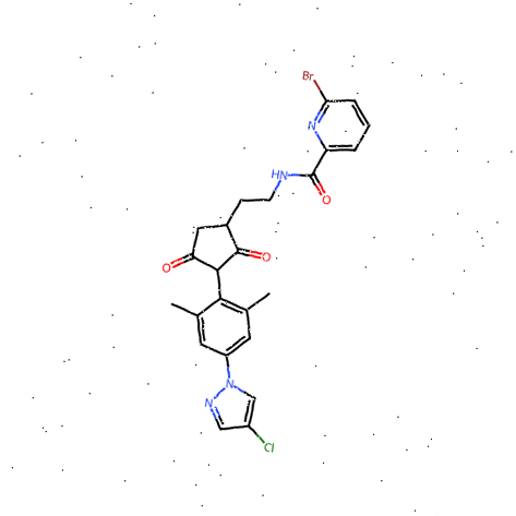 Cc1cc(-n2cc(Cl)cn2)cc(C)c1C1C(=O)CC(CCNC(=O)c2cccc(Br)n2)C1=O